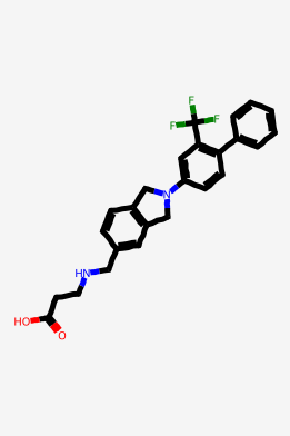 O=C(O)CCNCc1ccc2c(c1)CN(c1ccc(-c3ccccc3)c(C(F)(F)F)c1)C2